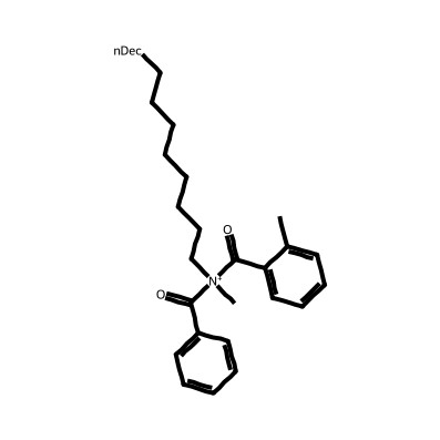 CCCCCCCCCCCCCCCCCC[N+](C)(C(=O)c1ccccc1)C(=O)c1ccccc1C